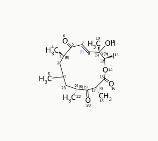 CC1C[C@@H](C)C(=O)/C=C/[C@](C)(O)[C@@H](I)OC(=O)[C@H](C)C(=O)[C@H](C)C1